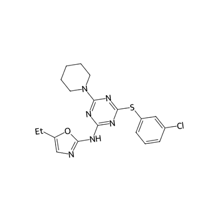 CCc1cnc(Nc2nc(Sc3cccc(Cl)c3)nc(N3CCCCC3)n2)o1